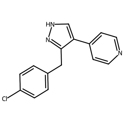 Clc1ccc(Cc2n[nH]cc2-c2ccncc2)cc1